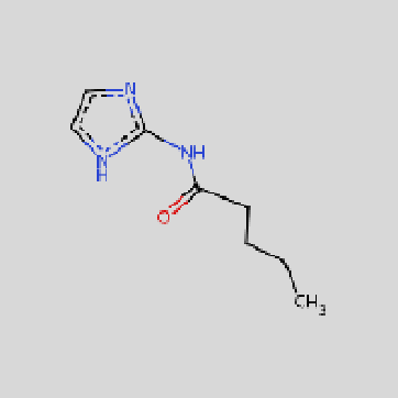 CCCCC(=O)Nc1ncc[nH]1